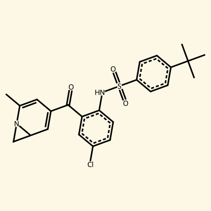 CC1=CC(C(=O)c2cc(Cl)ccc2NS(=O)(=O)c2ccc(C(C)(C)C)cc2)=CC2CN12